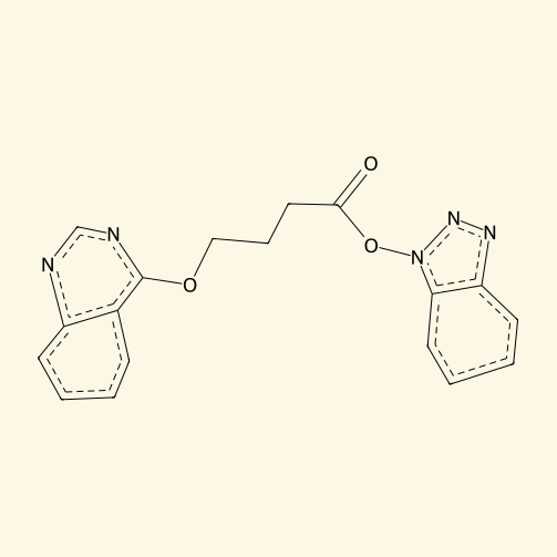 O=C(CCCOc1ncnc2ccccc12)On1nnc2ccccc21